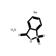 O.O=C1NS(=O)(=O)c2ccccc21.[Na]